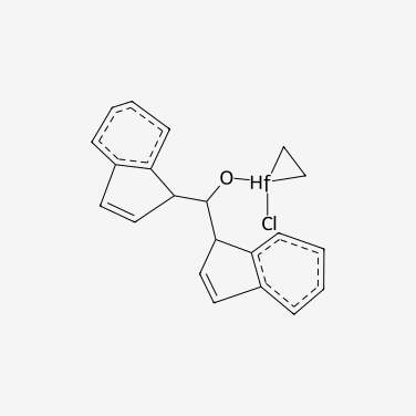 [Cl][Hf]1([O]C(C2C=Cc3ccccc32)C2C=Cc3ccccc32)[CH2][CH2]1